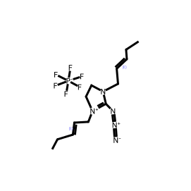 CC/C=C/CN1CC[N+](C/C=C/CC)=C1N=[N+]=[N-].F[P-](F)(F)(F)(F)F